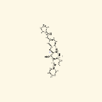 N=C(/C(N)=C/c1cccc(CNC2CCSC2)c1)c1cc(-c2cccnc2)ccc1N